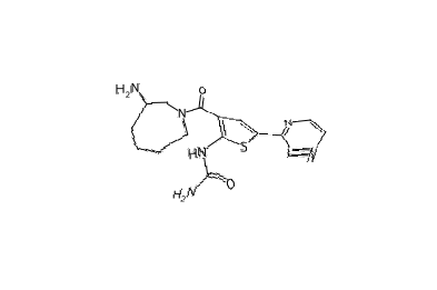 NC(=O)Nc1sc(-c2cnccn2)cc1C(=O)N1CCCCC(N)C1